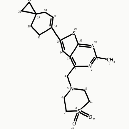 Cc1nc(CN2CCS(=O)(=O)CC2)c2cc(C3=CCC4(CC3)CC4)sc2n1